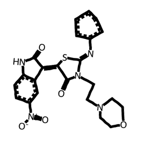 O=C1Nc2ccc([N+](=O)[O-])cc2/C1=C1/S/C(=N\c2ccccc2)N(CCN2CCOCC2)C1=O